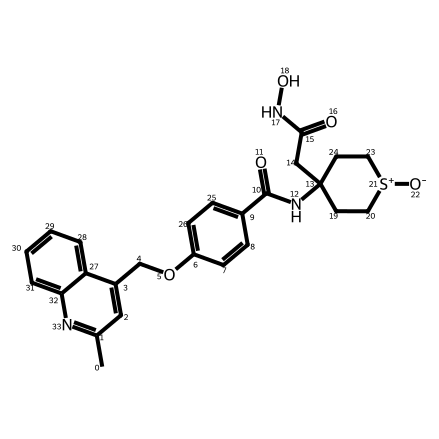 Cc1cc(COc2ccc(C(=O)NC3(CC(=O)NO)CC[S+]([O-])CC3)cc2)c2ccccc2n1